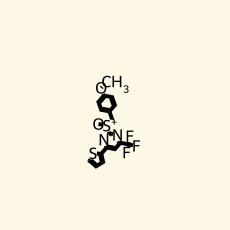 COc1ccc(C[S+]([O-])c2nc(-c3cccs3)cc(C(F)(F)F)n2)cc1